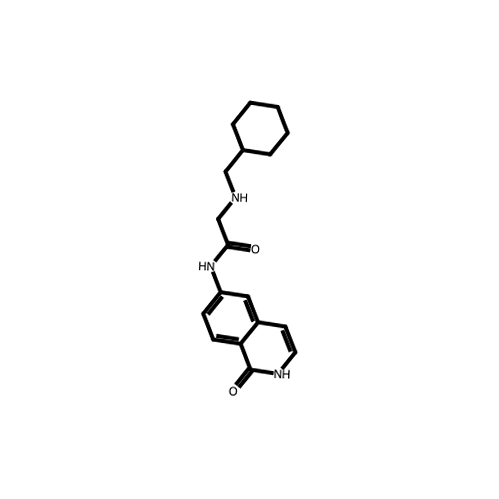 O=C(CNCC1CCCCC1)Nc1ccc2c(=O)[nH]ccc2c1